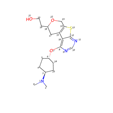 CN(C)[C@H]1CC[C@H](Oc2ncnc3sc4c(c23)CC(CCO)OC4)CC1